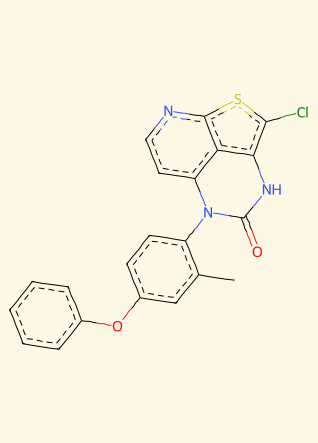 Cc1cc(Oc2ccccc2)ccc1N1C(=O)Nc2c(Cl)sc3nccc1c23